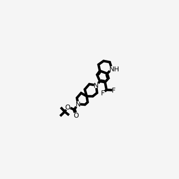 CC(C)(C)OC(=O)N1CCC2(CC1)CCN(c1cc3c(cc1C(F)F)NCCC3)CC2